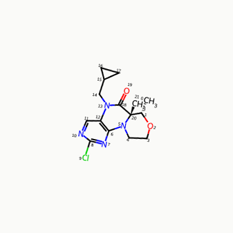 C[C@@H]1OCCN2c3nc(Cl)ncc3N(CC3CC3)C(=O)[C@]12C